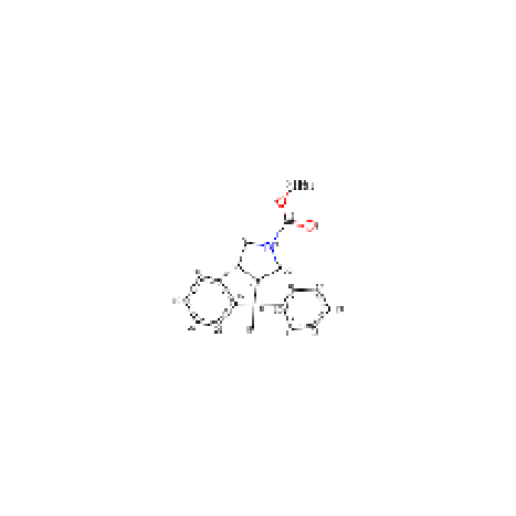 CC(C)(C)OC(=O)N1CCC(C(C)(c2ccccc2)c2ccccc2)C1